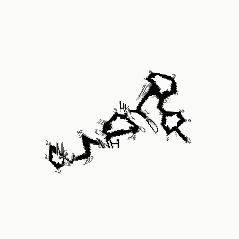 Cc1ccc(-c2ccccc2C(=O)Nc2ccc(NCCn3cccn3)cc2)cc1